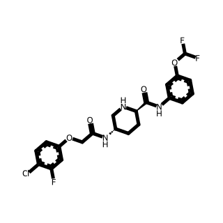 O=C(COc1ccc(Cl)c(F)c1)N[C@H]1CC[C@H](C(=O)Nc2cccc(OC(F)F)c2)NC1